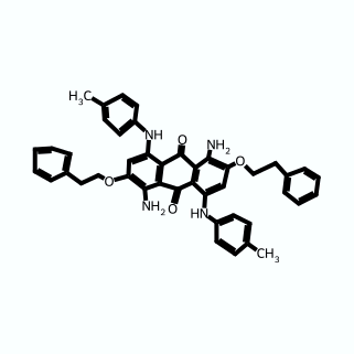 Cc1ccc(Nc2cc(OCCc3ccccc3)c(N)c3c2C(=O)c2c(N)c(OCCc4ccccc4)cc(Nc4ccc(C)cc4)c2C3=O)cc1